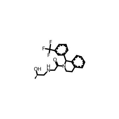 C[C@@H](O)CNCC(=O)N1CCc2ccccc2C1c1cccc(C(F)(F)F)c1